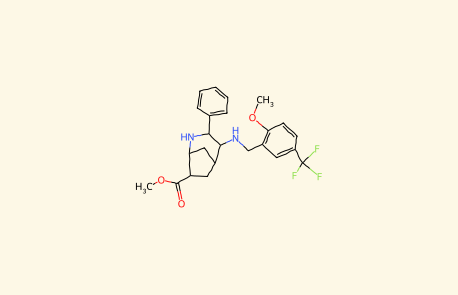 COC(=O)C1CC2CC1NC(c1ccccc1)C2NCc1cc(C(F)(F)F)ccc1OC